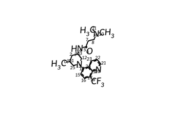 C[C@H]1C[C@@H](NC(=O)CCN(C)C)CN(c2ccc(C(F)(F)F)c3ncccc23)C1